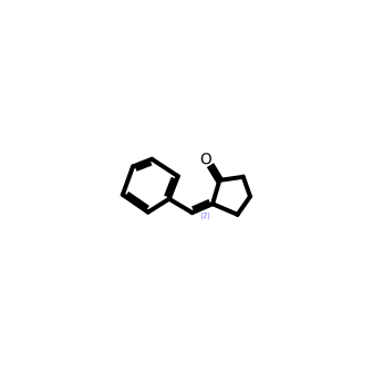 O=C1CCC/C1=C/c1ccccc1